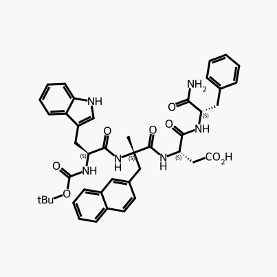 CC(C)(C)OC(=O)N[C@@H](Cc1c[nH]c2ccccc12)C(=O)N[C@@](C)(Cc1ccc2ccccc2c1)C(=O)N[C@@H](CC(=O)O)C(=O)N[C@@H](Cc1ccccc1)C(N)=O